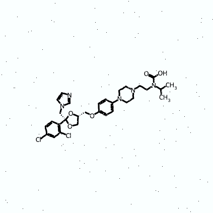 CC(C)N(CCN1CCN(c2ccc(OC[C@@H]3CO[C@@](Cn4ccnc4)(c4ccc(Cl)cc4Cl)O3)cc2)CC1)C(=O)O